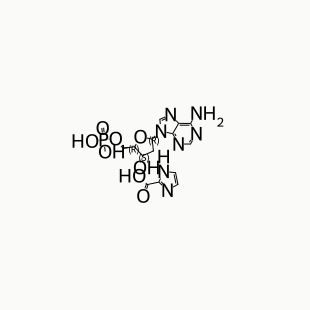 Nc1ncnc2c1ncn2[C@H]1C[C@H](O)[C@@H](COP(=O)(O)O)O1.O=C(O)c1ncc[nH]1